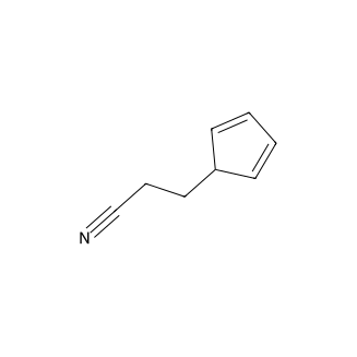 N#CCCC1C=CC=C1